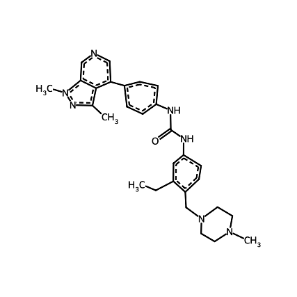 CCc1cc(NC(=O)Nc2ccc(-c3cncc4c3c(C)nn4C)cc2)ccc1CN1CCN(C)CC1